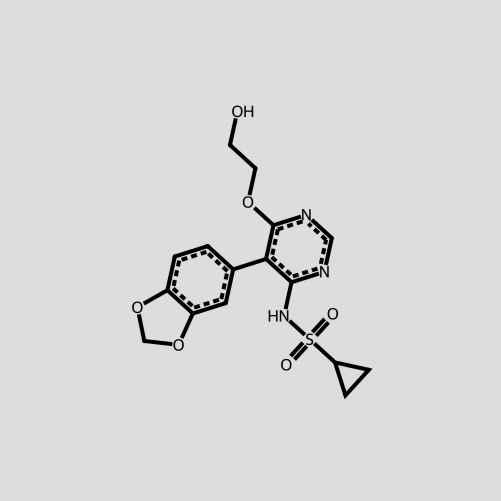 O=S(=O)(Nc1ncnc(OCCO)c1-c1ccc2c(c1)OCO2)C1CC1